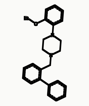 CCOc1ccccc1N1CCN(Cc2ccccc2-c2ccccc2)CC1